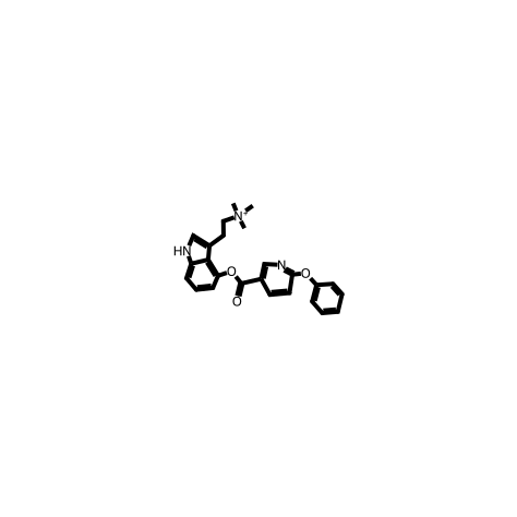 C[N+](C)(C)CCc1c[nH]c2cccc(OC(=O)c3ccc(Oc4ccccc4)nc3)c12